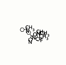 CC(C)N(C)C(=O)c1cc(F)ccc1-n1cc(C2CCN([C@H](C)C3CCCCC3)CC2)c2ccncc21